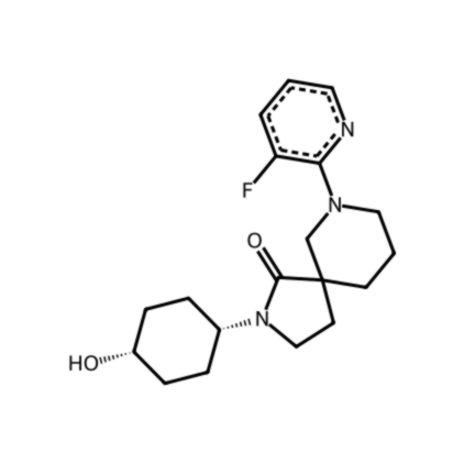 O=C1N([C@H]2CC[C@@H](O)CC2)CCC12CCCN(c1ncccc1F)C2